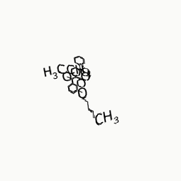 CCC=CCCOc1cccc2c(OC(C)C)c(OC(=O)c3ccccc3)c(=O)oc12